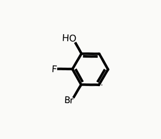 Oc1cc[c]c(Br)c1F